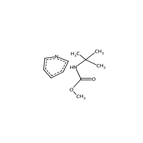 COC(=O)NC(C)(C)C.c1ccncc1